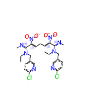 CCN(Cc1ccc(Cl)nc1)C(=N\C)/C(=C/C/C=C(/C(=N/C)N(CC)Cc1ccc(Cl)nc1)[N+](=O)[O-])[N+](=O)[O-]